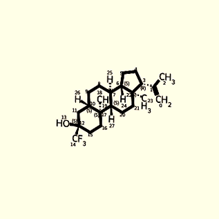 C=C(C)[C@H]1CC[C@H]2[C@@H]3CC[C@H]4C[C@](O)(C(F)(F)F)CC[C@]4(C)[C@H]3CC[C@]12C